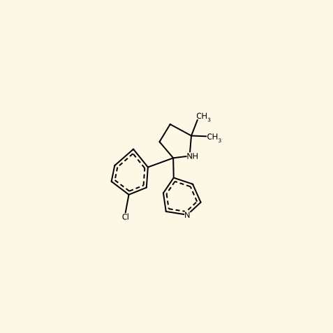 CC1(C)CCC(c2ccncc2)(c2cccc(Cl)c2)N1